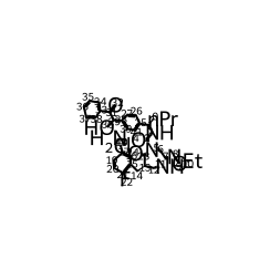 CCC[C@@H](NC(=O)N1CC(=NOCC)NC[C@@H](Cc2cc(Cl)ccc2F)C1=O)c1ccc(C(O)C(=O)c2ccccc2)c(N)c1